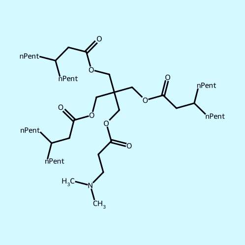 CCCCCC(CCCCC)CC(=O)OCC(COC(=O)CCN(C)C)(COC(=O)CC(CCCCC)CCCCC)COC(=O)CC(CCCCC)CCCCC